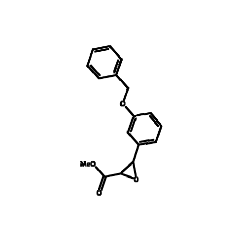 COC(=O)C1OC1c1cccc(OCc2ccccc2)c1